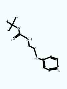 CC(C)(C)OC(=O)NCCOc1ccncc1